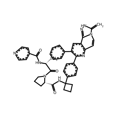 C=C1NN=C2c3cc(-c4ccccc4)c(-c4ccc(C5(NC(=O)[C@@H]6CCCN6C(=O)[C@@H](C)NC(=O)c6ccncc6)CCC5)cc4)nc3C=CN12